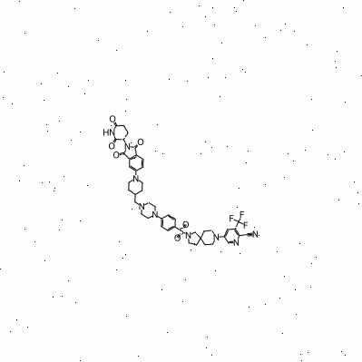 N#Cc1ncc(N2CCC3(CC2)CCN(S(=O)(=O)c2ccc(N4CCN(CC5CCN(c6ccc7c(c6)C(=O)N(C6CCC(=O)NC6=O)C7=O)CC5)CC4)cc2)C3)cc1C(F)(F)F